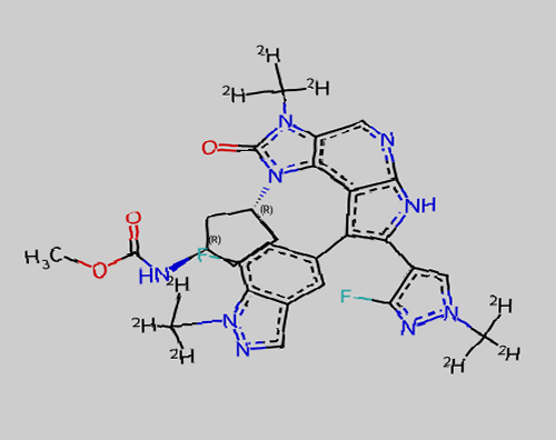 [2H]C([2H])([2H])n1cc(-c2[nH]c3ncc4c(c3c2-c2cc(F)c3c(cnn3C([2H])([2H])[2H])c2)n([C@@H]2CC[C@@H](NC(=O)OC)C2)c(=O)n4C([2H])([2H])[2H])c(F)n1